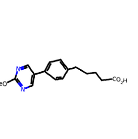 COc1ncc(-c2ccc(CCCCC(=O)O)cc2)cn1